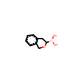 OB(O)C1Cc2ccccc2CO1